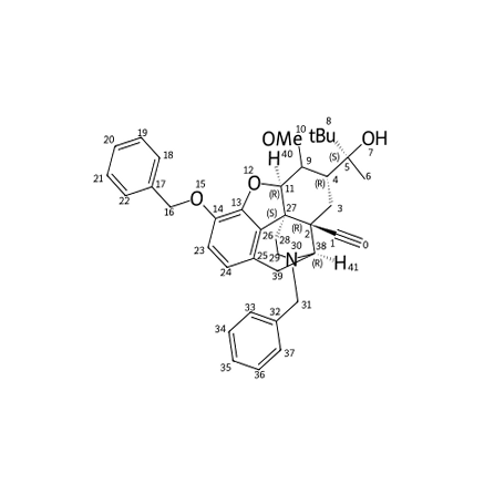 C#C[C@]12C[C@@H]([C@](C)(O)C(C)(C)C)C(OC)[C@@H]3Oc4c(OCc5ccccc5)ccc5c4[C@@]31CCN(Cc1ccccc1)[C@@H]2C5